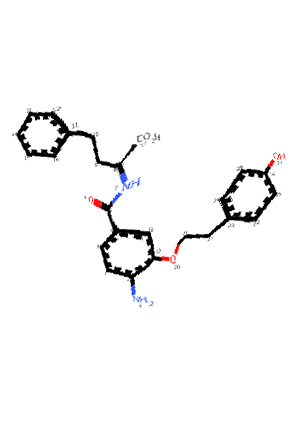 Nc1ccc(C(=O)N[C@@H](CCc2ccccc2)C(=O)O)cc1OCCc1ccc(O)cc1